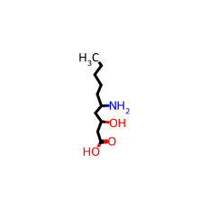 CCCCCC(N)CC(O)CC(=O)O